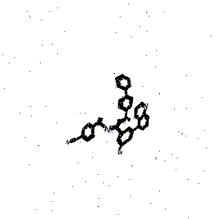 C/C(=C\C(=N/C(C)c1ccc(C#N)cc1)c1cc(Br)cc(-c2cccc3ncccc23)c1)c1ccc(-c2ccccc2)cc1